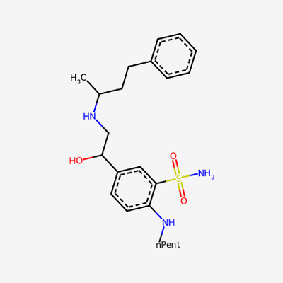 CCCCCNc1ccc(C(O)CNC(C)CCc2ccccc2)cc1S(N)(=O)=O